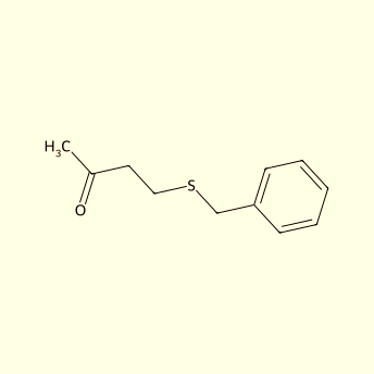 CC(=O)CCSCc1ccccc1